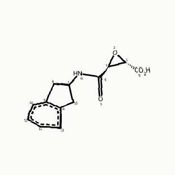 O=C(O)[C@H]1O[C@@H]1C(=O)NC1Cc2ccccc2C1